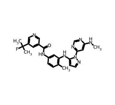 CNc1cc(-n2nccc2Nc2cc(NC(=O)c3cncc(C(C)(C)F)c3)ccc2C)ncn1